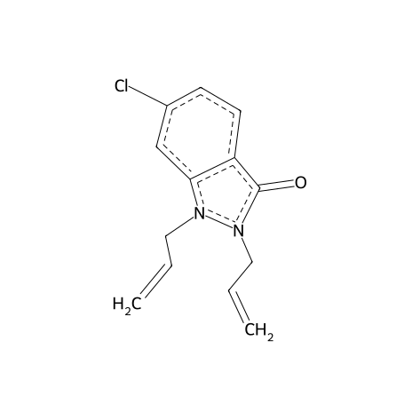 C=CCn1c(=O)c2ccc(Cl)cc2n1CC=C